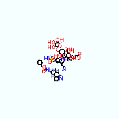 CN1C[C@H](CNC(=O)OCc2ccccc2)C[C@@H]2c3cccc4c3c(cn4C)C[C@H]21.CNS(=O)(=O)Cc1ccc2[nH]cc(CCN(C)C)c2c1.C[C@@H]1O[C@@H](O[C@H]2C[C@@H](O)[C@]3(CO)[C@H]4[C@H](O)C[C@]5(C)[C@@H](C6=CC(=O)OC6)CC[C@]5(O)[C@@H]4CC[C@]3(O)C2)[C@H](O)[C@H](O)[C@H]1O